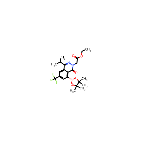 CCOC(=O)Cn1nc(C(C)C)c2cc(C(F)(F)F)cc(B3OC(C)(C)C(C)(C)O3)c2c1=O